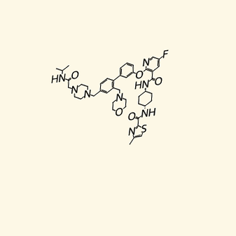 Cc1csc(C(=O)N[C@H]2CC[C@H](NC(=O)c3cc(F)cnc3Oc3cccc(-c4ccc(CN5CCN(CC(=O)NC(C)C)CC5)cc4CN4CCOCC4)c3)CC2)n1